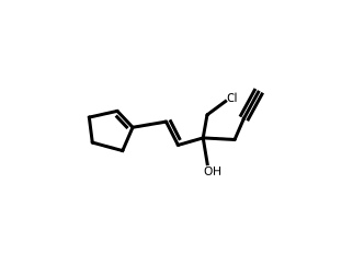 C#CCC(O)(/C=C/C1=CCCC1)CCl